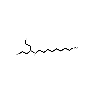 CCCCCCCCCCCCCCCCCCNN(CCO)CCO